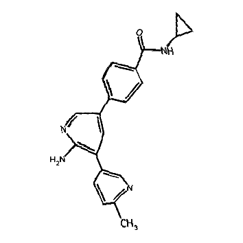 Cc1ccc(-c2cc(-c3ccc(C(=O)NC4CC4)cc3)cnc2N)cn1